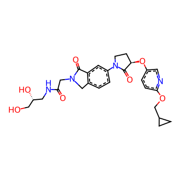 O=C(CN1Cc2ccc(N3CC[C@@H](Oc4ccc(OCC5CC5)nc4)C3=O)cc2C1=O)NC[C@@H](O)CO